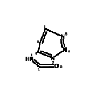 N=C=O.c1cnnnc1